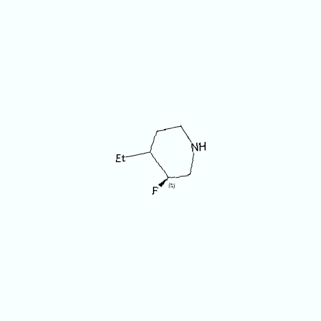 CCC1CCNC[C@H]1F